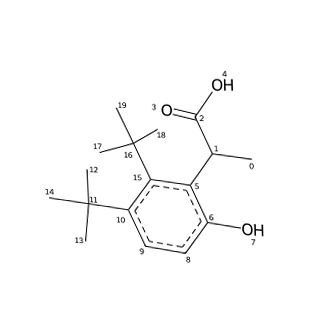 CC(C(=O)O)c1c(O)ccc(C(C)(C)C)c1C(C)(C)C